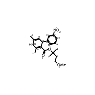 COCCC(C)(C)OC(=O)C1=C(C)NC(C)=CC1c1cccc([N+](=O)[O-])c1